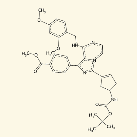 COC(=O)c1ccc(-c2nc(C3=CCC(NC(=O)OC(C)(C)C)C3)n3ccnc(NCc4ccc(OC)cc4OC)c23)cc1